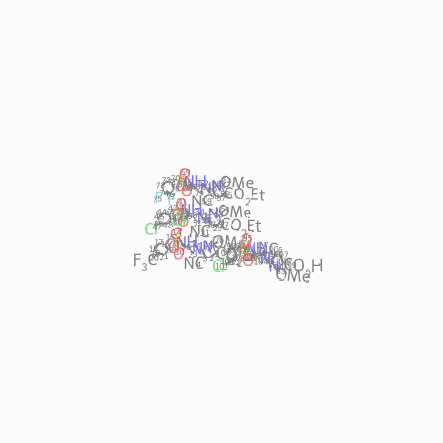 CCOC(=O)c1cc(C#N)c(N2CC(C(=O)NS(=O)(=O)Cc3ccc(C(F)(F)F)cc3)C2)nc1OC.CCOC(=O)c1cc(C#N)c(N2CC(C(=O)NS(=O)(=O)Cc3ccc(Cl)cc3Cl)C2)nc1OC.CCOC(=O)c1cc(C#N)c(N2CC(C(=O)NS(=O)(=O)Cc3ccc(F)c(F)c3)C2)nc1OC.COc1nc(N2CC(C(=O)NS(=O)(=O)Cc3ccc(Cl)cc3)C2)c(C#N)cc1C(=O)O